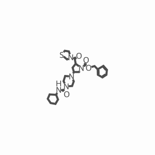 O=C(NC1CCCCC1)N1CCN(C2CC(C(=O)N3CCSC3)N(C(=O)OCc3ccccc3)C2)CC1